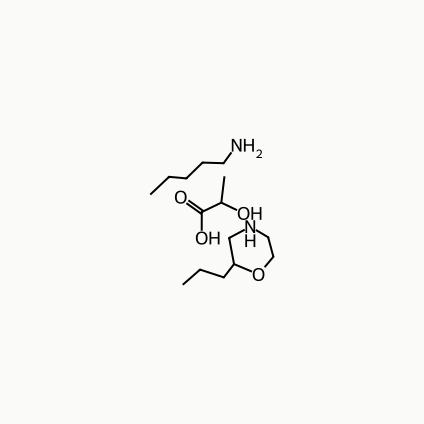 CC(O)C(=O)O.CCCC1CNCCO1.CCCCCN